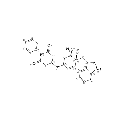 CN1C[C@H](CN2CC(=O)N(c3ccccc3)C(=O)C2)C=C2c3cccc4[nH]cc(c34)C[C@H]21